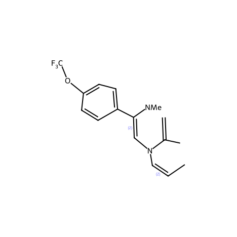 C=C(C)N(/C=C\C)/C=C(\NC)c1ccc(OC(F)(F)F)cc1